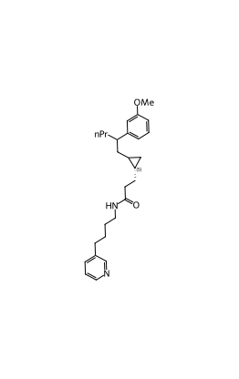 CCCC(CC1C[C@@H]1CCC(=O)NCCCCc1cccnc1)c1cccc(OC)c1